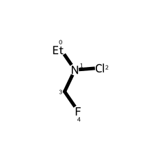 CCN(Cl)CF